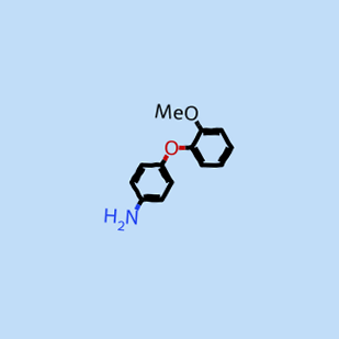 COc1ccccc1Oc1ccc(N)cc1